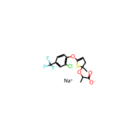 CC(OC1(C)CC=C(Oc2ccc(C(F)(F)F)cc2Cl)S1)C(=O)[O-].[Na+]